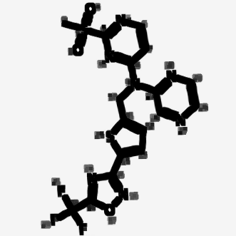 CS(=O)(=O)c1nccc(N(Cc2ccc(-c3noc(C(F)(F)F)n3)s2)c2cnccn2)n1